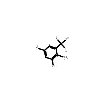 Nc1c(O)cc(Cl)cc1C(F)(F)F